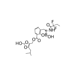 CCC(F)(F)C(=O)N[C@H]1Cc2cccc(C(=O)OCC3=C(CC(C)C)OC(O)O3)c2OB1O